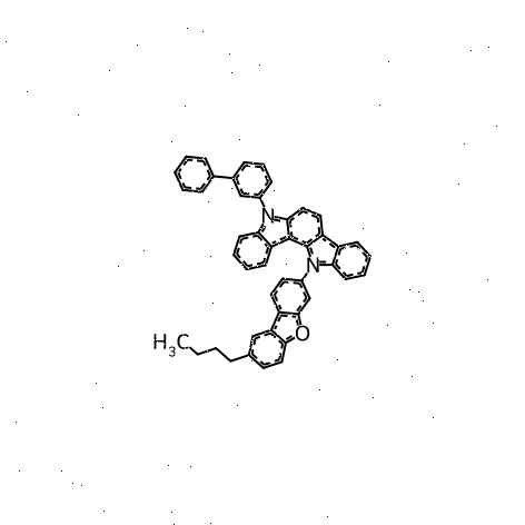 CCCCc1ccc2oc3cc(-n4c5ccccc5c5ccc6c(c7ccccc7n6-c6cccc(-c7ccccc7)c6)c54)ccc3c2c1